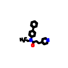 CCN(C(=O)CCc1ccncc1)c1ccc(-c2ccccc2)cc1